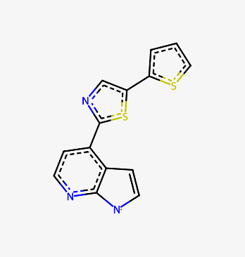 C1=Cc2c(-c3ncc(-c4cccs4)s3)ccnc2[N]1